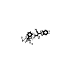 CC(Oc1cccc(C(C)(C)C)c1)C(=O)C(C#N)c1nc2ccccc2o1